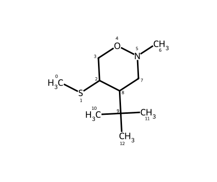 CSC1CON(C)CC1C(C)(C)C